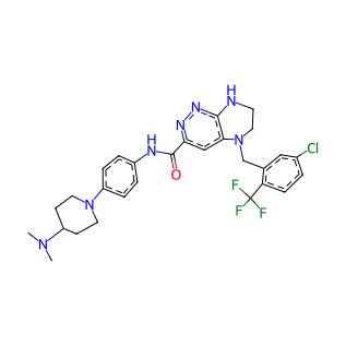 CN(C)C1CCN(c2ccc(NC(=O)c3cc4c(nn3)NCCN4Cc3cc(Cl)ccc3C(F)(F)F)cc2)CC1